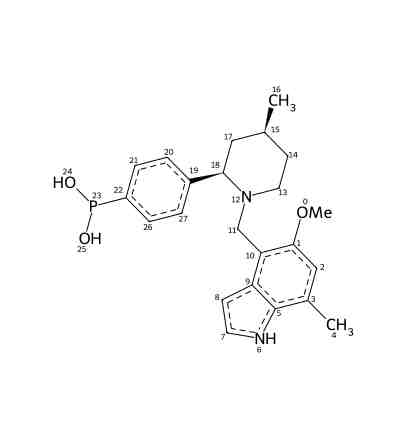 COc1cc(C)c2[nH]ccc2c1CN1CC[C@H](C)C[C@@H]1c1ccc(P(O)O)cc1